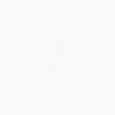 O=C(O)c1ccccc1O.O=S(O)S(=O)(=O)[O-].[Li+]